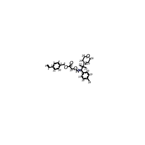 C=Cc1ccc(COC(=O)CO/N=C(/c2ccc(C)cc2)C(C)(C)N2CCOCC2)cc1